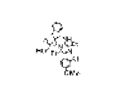 CCc1nc(-c2ccc(OC)cc2Cl)c(CC)nc1N[C@H]1c2ccccc2C[C@@H]1OC(=O)CO